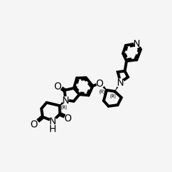 O=C1CC[C@@H](N2Cc3cc(O[C@@H]4CCCC[C@H]4N4CC(c5ccncc5)C4)ccc3C2=O)C(=O)N1